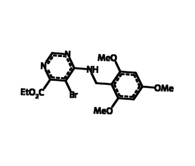 CCOC(=O)c1ncnc(NCc2c(OC)cc(OC)cc2OC)c1Br